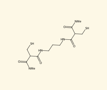 CNC(=O)C(CS)C(=O)NCCCNC(=O)C(CS)C(=O)NC